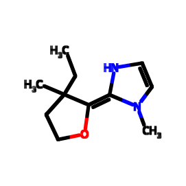 CCC1(C)CCOC1=C1NC=CN1C